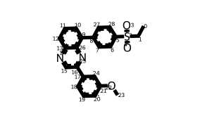 CCS(=O)(=O)c1ccc(-c2cccc3ncc(-c4cc[c]c(OC)c4)nc23)cc1